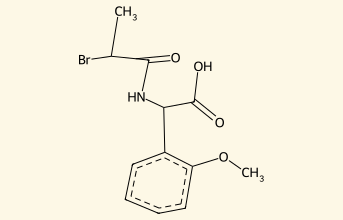 COc1ccccc1C(NC(=O)C(C)Br)C(=O)O